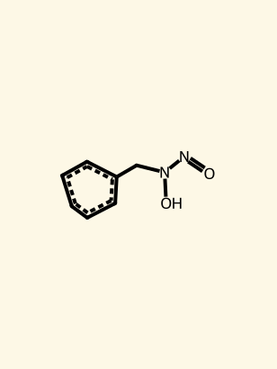 O=NN(O)Cc1ccccc1